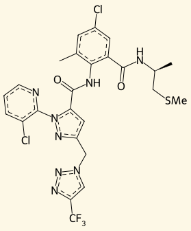 CSC[C@H](C)NC(=O)c1cc(Cl)cc(C)c1NC(=O)c1cc(Cn2cc(C(F)(F)F)nn2)nn1-c1ncccc1Cl